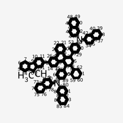 CC1(C)c2ccccc2-c2ccc(-c3ccc4c5c(c6ccccc6c4c3)=C(c3ccc(N(c4ccc6ccccc6c4)c4ccc6ccccc6c4)cc3)CC(C3=CCCC=C3)C=5c3ccc(N(c4ccc5ccccc5c4)c4ccc5ccccc5c4)cc3)cc21